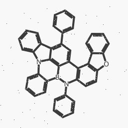 c1ccc(-c2cc3c4c5c2c2ccccc2n5-c2ccccc2B4N(c2ccccc2)c2ccc4oc5ccccc5c4c2-3)cc1